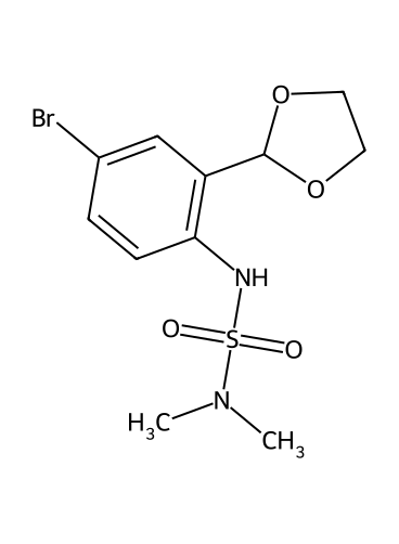 CN(C)S(=O)(=O)Nc1ccc(Br)cc1C1OCCO1